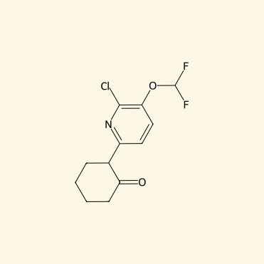 O=C1CCCCC1c1ccc(OC(F)F)c(Cl)n1